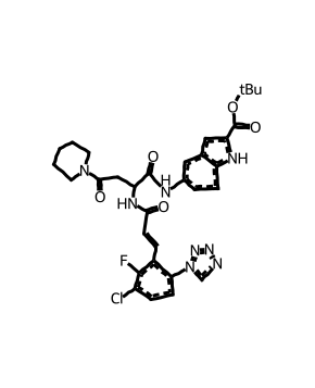 CC(C)(C)OC(=O)c1cc2cc(NC(=O)C(CC(=O)N3CCCCC3)NC(=O)C=Cc3c(-n4cnnn4)ccc(Cl)c3F)ccc2[nH]1